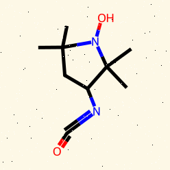 CC1(C)CC(N=C=O)C(C)(C)N1O